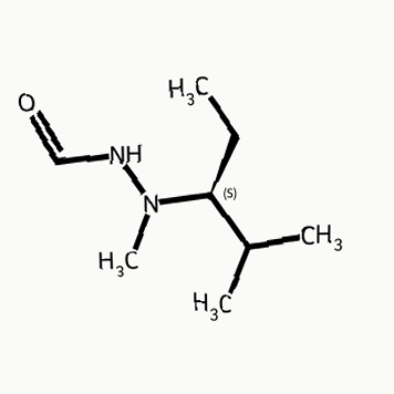 CC[C@@H](C(C)C)N(C)NC=O